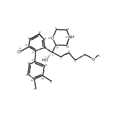 COCCCC[C@@](O)(c1cccc(Cl)c1-c1ccc(C)c(C)c1)C1CNCCO1